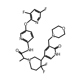 CC(C(=O)Nc1ccc(Oc2ncc(F)cc2F)cn1)N1CCC(F)(F)C(c2c[nH]c(=O)c(CN3CCOCC3)c2)C1